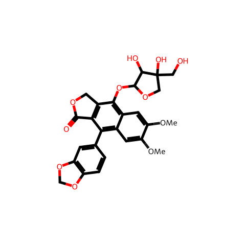 COc1cc2c(OC3OCC(O)(CO)C3O)c3c(c(-c4ccc5c(c4)OCO5)c2cc1OC)C(=O)OC3